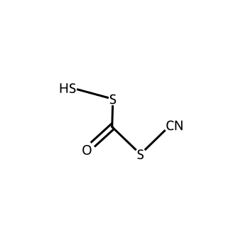 N#CSC(=O)SS